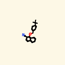 CC(C)(C)c1ccc(COc2c(C#N)ccc3ccccc23)cc1